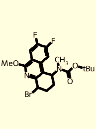 COc1nc2c(c3cc(F)c(F)cc13)C(N(C)C(=O)OC(C)(C)C)CCC2Br